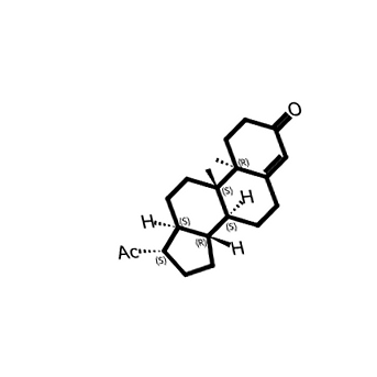 CC(=O)[C@H]1CC[C@@H]2[C@@H]1CC[C@@]1(C)[C@H]2CCC2=CC(=O)CC[C@@]21C